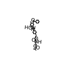 C=C(C)C(=O)OCCNC(=O)OCCc1ccc(/N=N/c2cc(C(=O)c3ccccc3)c(C)cc2O)cc1